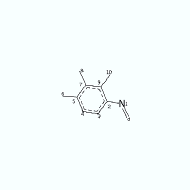 C=Nc1ccc(C)c(C)c1C